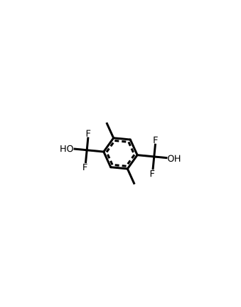 Cc1cc(C(O)(F)F)c(C)cc1C(O)(F)F